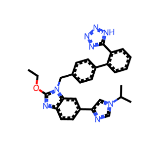 CCOc1nc2ccc(-c3cn(C(C)C)cn3)cc2n1Cc1ccc(-c2ccccc2-c2nnn[nH]2)cc1